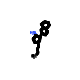 CCCCc1ccc(N)c(-c2ccc3ccccc3c2)c1